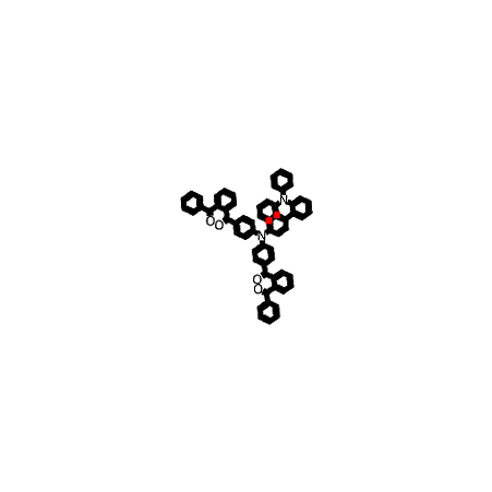 O=C(c1ccccc1)c1ccccc1C(=O)c1ccc(N(c2ccc(C(=O)c3ccccc3C(=O)c3ccccc3)cc2)c2ccc(-c3ccccc3N(c3ccccc3)c3ccccc3)cc2)cc1